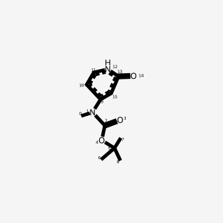 CN(C(=O)OC(C)(C)C)c1cc[nH]c(=O)c1